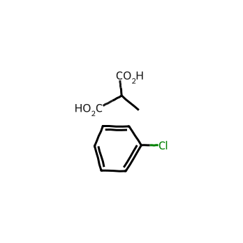 CC(C(=O)O)C(=O)O.Clc1ccccc1